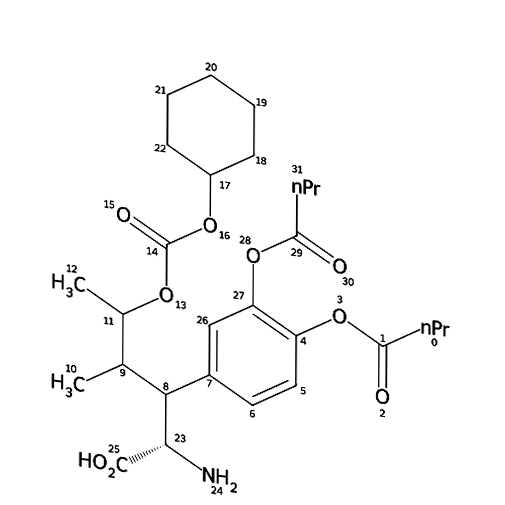 CCCC(=O)Oc1ccc(C(C(C)C(C)OC(=O)OC2CCCCC2)[C@H](N)C(=O)O)cc1OC(=O)CCC